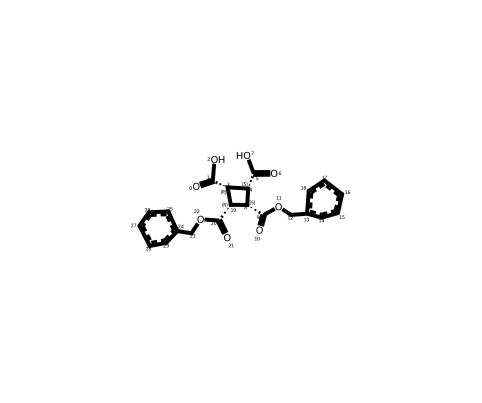 O=C(O)[C@@H]1[C@H](C(=O)O)[C@H](C(=O)OCc2ccccc2)[C@@H]1C(=O)OCc1ccccc1